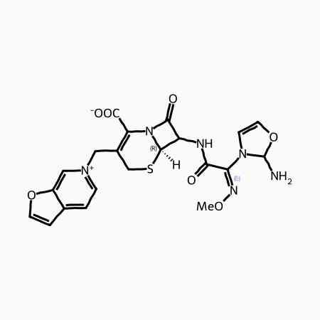 CO/N=C(\C(=O)NC1C(=O)N2C(C(=O)[O-])=C(C[n+]3ccc4ccoc4c3)CS[C@H]12)N1C=COC1N